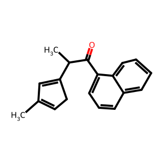 CC1=CCC(C(C)C(=O)c2cccc3ccccc23)=C1